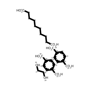 O=C(O)CCCCCCCCC(=O)O.O=C(O)c1ccc(C(=O)O)cc1.O=C(O)c1ccc(C(=O)O)cc1.OCCO